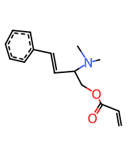 C=CC(=O)OCC(C=Cc1ccccc1)N(C)C